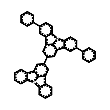 c1ccc(-c2ccc3c(c2)c2cc(-c4cc5c6ccccc6n6c7ccccc7c(c4)c56)cc4c5cc(-c6ccccc6)ccc5n3c24)cc1